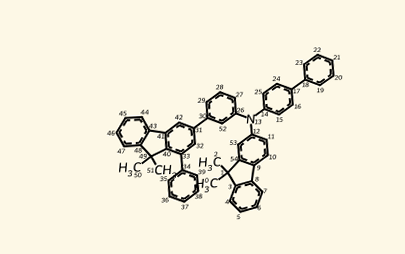 CC1(C)c2ccccc2-c2ccc(N(c3ccc(-c4ccccc4)cc3)c3cccc(-c4cc(-c5ccccc5)c5c(c4)-c4ccccc4C5(C)C)c3)cc21